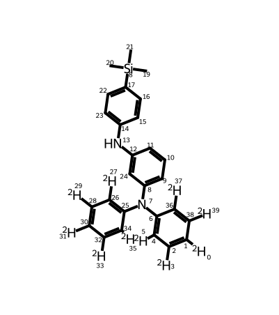 [2H]c1c([2H])c([2H])c(N(c2cccc(Nc3ccc([Si](C)(C)C)cc3)c2)c2c([2H])c([2H])c([2H])c([2H])c2[2H])c([2H])c1[2H]